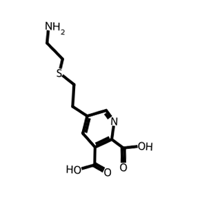 NCCSCCc1cnc(C(=O)O)c(C(=O)O)c1